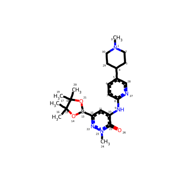 CN1CCC(c2ccc(Nc3cc(B4OC(C)(C)C(C)(C)O4)nn(C)c3=O)nc2)CC1